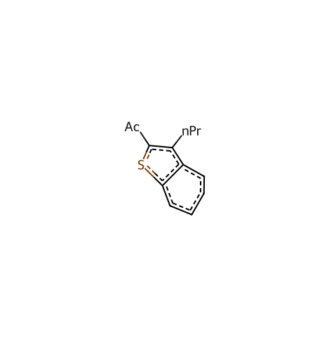 CCCc1c(C(C)=O)sc2ccccc12